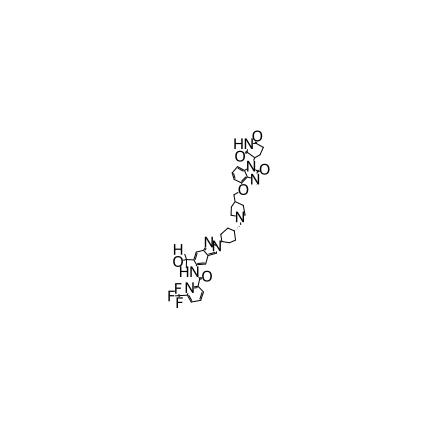 Cn1c(=O)n(C2CCC(=O)NC2=O)c2cccc(OCC3CCN(C[C@H]4CC[C@H](n5cc6cc(NC(=O)c7cccc(C(F)(F)F)n7)c(C(C)(C)O)cc6n5)CC4)CC3)c21